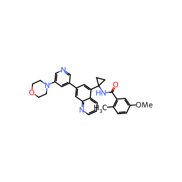 COc1ccc(C)c(C(=O)NC2(c3cc(-c4cncc(N5CCOCC5)c4)cc4ncccc34)CC2)c1